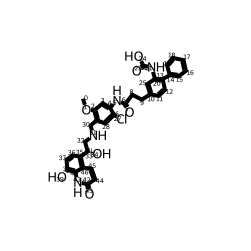 COc1cc(NC(=O)CCc2ccc(-c3ccccc3)c(NC(=O)O)c2)c(Cl)cc1CNC[C@H](O)c1ccc(O)c2[nH]c(=O)ccc12